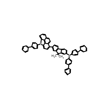 CC1(C)c2cc(-c3ccc4c5c3ccc3cccc(c35)n4-c3ccc(-c4ccccc4)cc3)ccc2-c2ccc(N(c3ccc(-c4ccccc4)cc3)c3ccc(-c4ccccc4)cc3)cc21